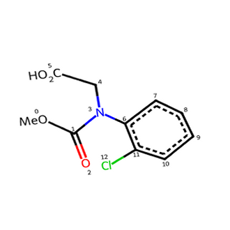 COC(=O)N(CC(=O)O)c1ccccc1Cl